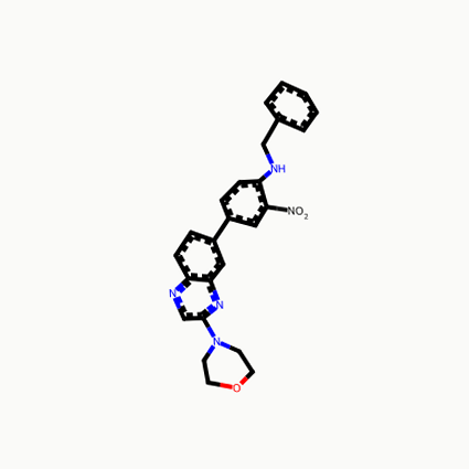 O=[N+]([O-])c1cc(-c2ccc3ncc(N4CCOCC4)nc3c2)ccc1NCc1ccccc1